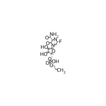 C=CCOP(=O)(O)OC[C@H]1O[C@@H](n2cc(F)nc(C(N)=O)c2=O)[C@H](O)[C@@H]1O